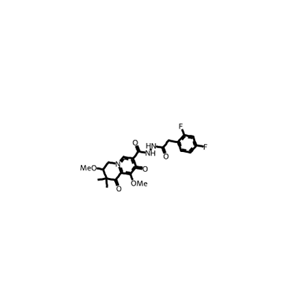 COc1c2n(cc(C(=O)NNC(=O)Cc3ccc(F)cc3F)c1=O)CC(OC)C(C)(C)C2=O